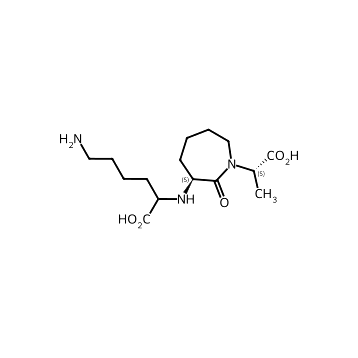 C[C@@H](C(=O)O)N1CCCC[C@H](NC(CCCCN)C(=O)O)C1=O